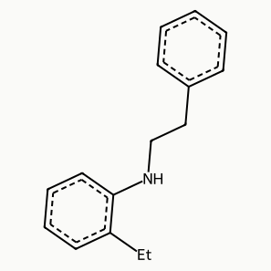 CCc1ccccc1NCCc1ccccc1